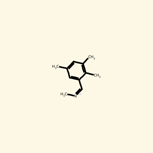 C/N=C\c1cc(C)cc(C)c1C